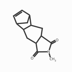 CN1C(=O)C2CC3C4C=CC(C4)C3CC2C1=O